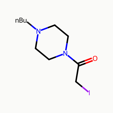 CCCCN1CCN(C(=O)CI)CC1